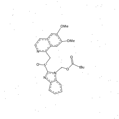 COc1cc2ccnc(C[S+]([O-])c3nc4ccccc4n3COC(=O)C(C)(C)C)c2cc1OC